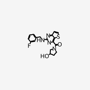 O=C(c1nc(NCc2cccc(F)c2)nc2ccsc12)N1CCC(O)C1